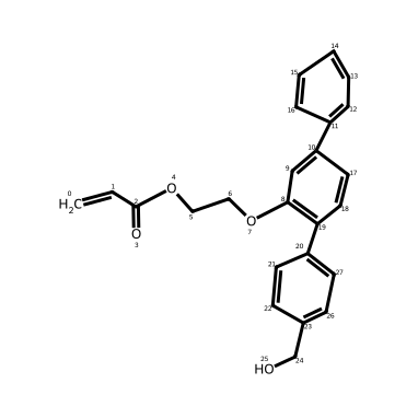 C=CC(=O)OCCOc1cc(-c2ccccc2)ccc1-c1ccc(CO)cc1